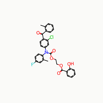 Cc1ccccc1C(=O)c1ccc(N(C(=O)OCCOC(=O)c2ccccc2O)c2ccc(F)cc2C)cc1Cl